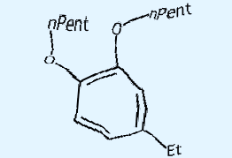 [CH2]Cc1ccc(OCCCCC)c(OCCCCC)c1